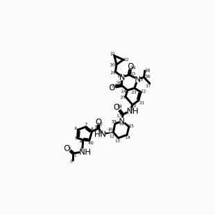 CC(=O)Nc1cccc(C(=O)N[C@@H]2CCCN(C(=O)NC3C=CC4C(C3)C(=O)N(CC3CC3)C(=O)N4C(C)C)C2)c1